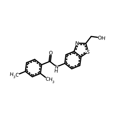 Cc1ccc(C(=O)Nc2ccc3sc(CO)nc3c2)c(C)c1